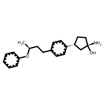 C[C@@H](CCc1ccc([C@@H]2CC[C@](N)(O)C2)cc1)Oc1ccccc1